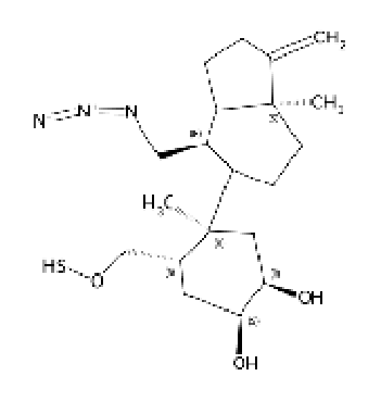 C=C1CCC2[C@H](CN=[N+]=[N-])C([C@@]3(C)C[C@@H](O)[C@@H](O)C[C@@H]3COS)CC[C@]12C